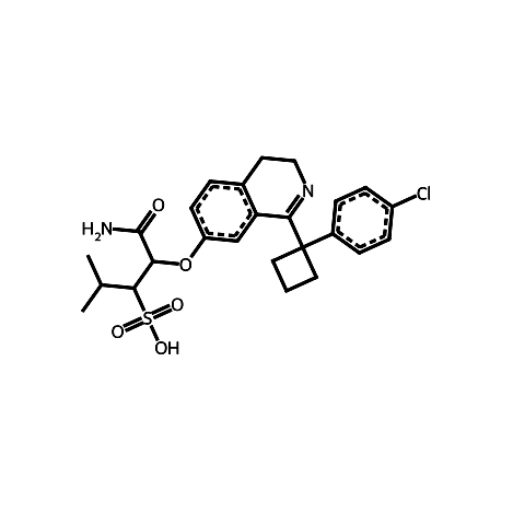 CC(C)C(C(Oc1ccc2c(c1)C(C1(c3ccc(Cl)cc3)CCC1)=NCC2)C(N)=O)S(=O)(=O)O